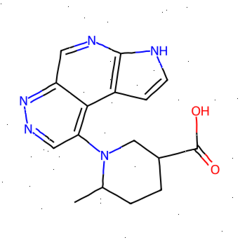 CC1CCC(C(=O)O)CN1c1cnnc2cnc3[nH]ccc3c12